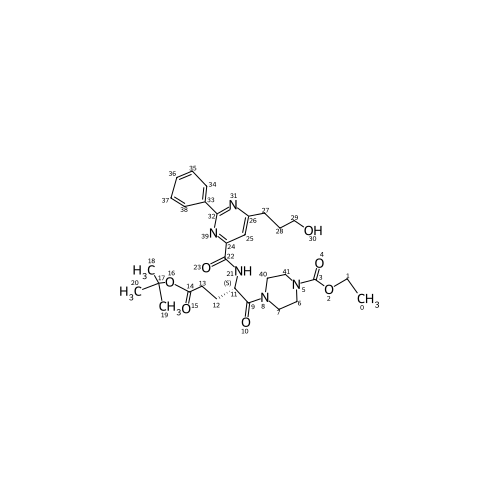 CCOC(=O)N1CCN(C(=O)[C@H](CCC(=O)OC(C)(C)C)NC(=O)c2cc(CCCO)nc(-c3ccccc3)n2)CC1